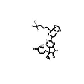 O=C1Nc2nc(-c3cn4ncnc4c(CCCC(F)(F)F)n3)nc(O)c2C1(c1ccc(F)cn1)C1CC1